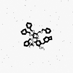 Cc1cc(OC(F)(F)F)c([C@@H]2O[C@H](COCc3ccccc3)[C@@H](OCc3ccccc3)[C@H](OCc3ccccc3)[C@H]2OCc2ccccc2)cc1Cc1ccc2c(c1)CC2